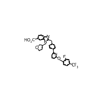 O=C(O)c1ccc2nc(Cc3ccc(-c4cccc(OCc5ccc(C(F)(F)F)cc5F)n4)cc3)n(CC3CCOC3)c2c1